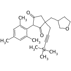 Cc1cc(C)c(C2C(=O)CC(CC#C[Si](C)(C)C)(CC3CCOC3)C2=O)c(C)c1